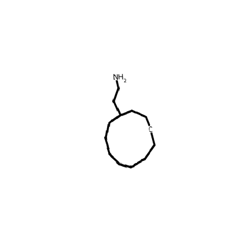 NCCC1CCCCCCCCCC1